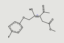 COC(=O)C/C(C(C)=O)=C(/O)COc1ccc(F)cc1